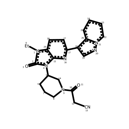 CCn1c(=O)n(C2CCCN(C(=O)CC#N)C2)c2nc(-c3cnn4ccccc34)ccc21